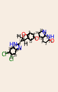 O=C1CCc2c(Oc3ccc4c(c3)[C@H]3[C@@H](O4)[C@@H]3c3nc4cc(Cl)c(Cl)cc4[nH]3)ccnc2N1